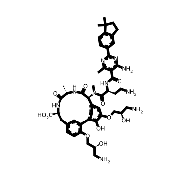 Cc1nc(-c2ccc3c(c2)CCC3(C)C)nc(N)c1C(=O)N[C@@H](CCN)C(=O)N(C)[C@@H]1C(=O)N[C@@H](C)C(=O)N[C@H](C(=O)O)Cc2ccc(OC[C@H](O)CN)c(c2)-c2cc1cc(OC[C@H](O)CN)c2O